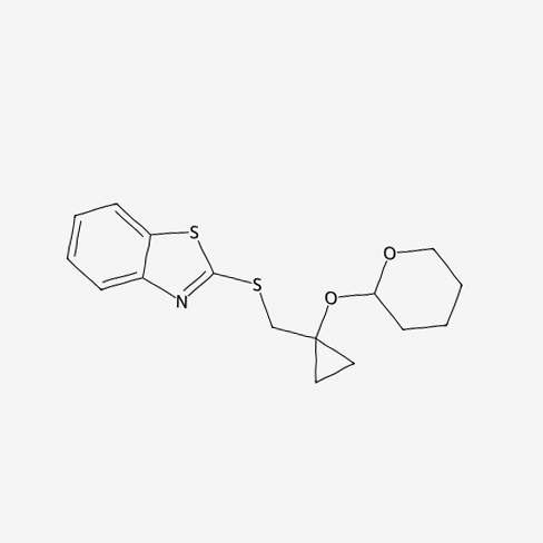 c1ccc2sc(SCC3(OC4CCCCO4)CC3)nc2c1